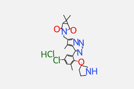 Cc1cc(Cl)cc(-c2ncnn3cc(CN4C(=O)C5C(C4=O)C5(C)C)c(C)c23)c1O[C@H]1CCCNC1.Cl